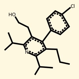 CCCc1c(C(C)C)nc(C(C)C)c(CCO)c1-c1ccc(Cl)cc1